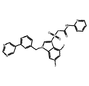 O=C(CS(=O)(=O)c1cn(Cc2cccc(-c3cncnc3)c2)c2cc(F)cc(F)c12)Nc1ccccn1